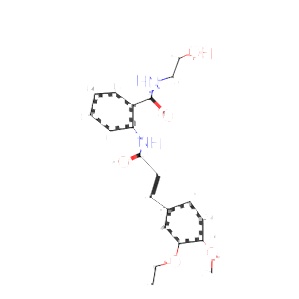 CCOc1cc(/C=C/C(=O)Nc2ccccc2C(=O)NCCO)ccc1OC